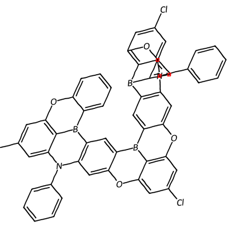 Clc1cc2c3c(c1)Oc1cc4c(cc1B3c1cc3c(cc1O2)N(c1ccccc1)c1cc(Cl)cc2c1B3c1ccccc1O2)B1c2ccccc2Oc2cc(Cl)cc(c21)N4c1ccccc1